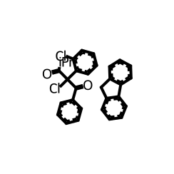 CC(C)C(=O)C(Cl)(C(=O)c1ccccc1)c1ccccc1Cl.c1ccc2c(c1)Cc1ccccc1-2